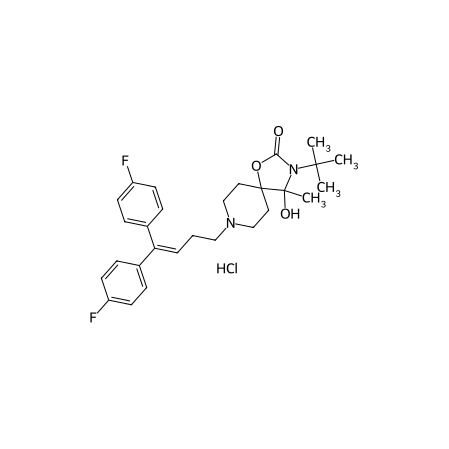 CC(C)(C)N1C(=O)OC2(CCN(CCC=C(c3ccc(F)cc3)c3ccc(F)cc3)CC2)C1(C)O.Cl